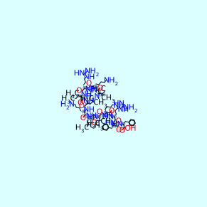 CC[C@H](C)[C@H](N)C(=O)N[C@@H](CCCCN)C(=O)N[C@@H](CCCNC(=N)N)C(=O)N[C@H](C(=O)N[C@@H](CC(C)C)C(=O)N[C@@H](CCCCN)C(=O)N[C@@H](CC(C)C)C(=O)N[C@H](C(=O)N[C@@H](CCCCN)C(=O)N[C@@H](CCCNC(=N)N)C(=O)N[C@@H](Cc1ccccc1)C(=O)N[C@@H](Cc1ccccc1)C(=O)O)C(C)C)[C@@H](C)CC